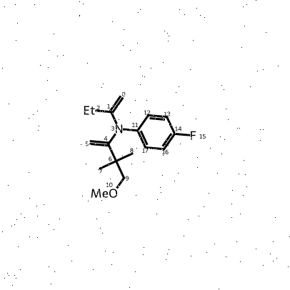 C=C(CC)N(C(=C)C(C)(C)COC)c1ccc(F)cc1